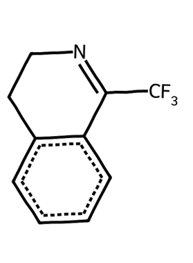 FC(F)(F)C1=NCCc2ccccc21